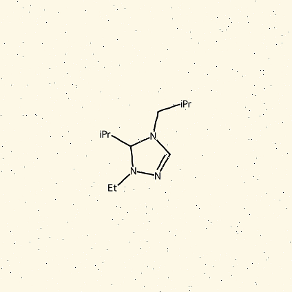 CCN1N=CN(CC(C)C)C1C(C)C